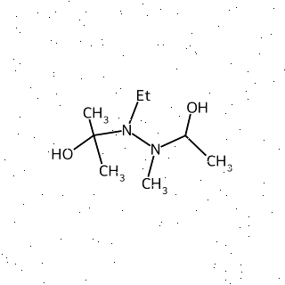 CCN(N(C)C(C)O)C(C)(C)O